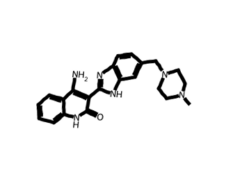 CN1CCN(Cc2ccc3nc(-c4c(N)c5ccccc5[nH]c4=O)[nH]c3c2)CC1